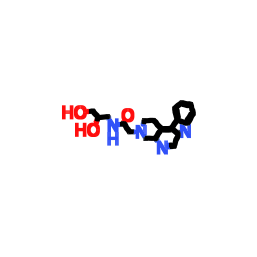 O=C(CN1CCC2=C3C(=Nc4ccccc43)C=NC2C1)NCC(O)CO